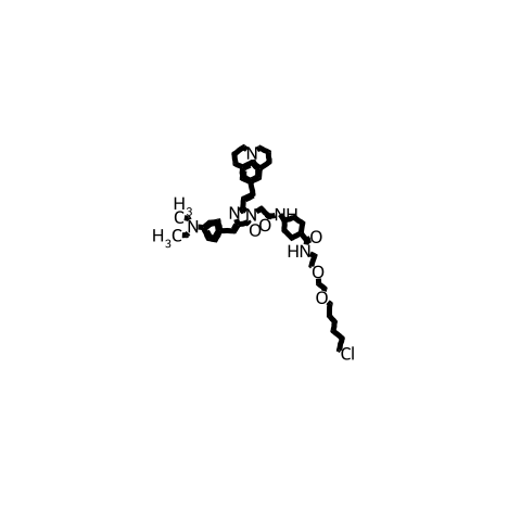 CCN(CC)c1ccc(/C=C2N=C(/C=C/c3cc4c5c(c3)CCCN5CCC4)N(CC(=O)NC3CCC(C(=O)NCCOCCOCCCCCCCl)CC3)C\2=O)cc1